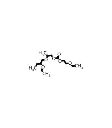 CCOCCOC(=O)OCC(C)OCC(CC)OCC